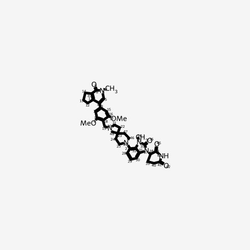 COc1cc(-c2cn(C)c(=O)c3c2CCC3)cc(OC)c1CN1CCC2(CCN(c3cccc4c3n(C)c(=O)n4C3CCC(=O)NC3=O)CC2)C1